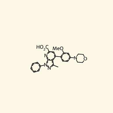 COc1cc(N2CCOCC2)ccc1-c1cc(C(=O)O)nc2c1c(C)nn2-c1ccccc1